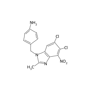 Cc1nc2c([N+](=O)[O-])c(Cl)c(Cl)cc2n1Cc1ccc(N)cc1